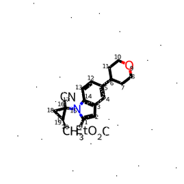 CCOC(=O)c1cc2cc(C3CCOCC3)ccc2n1C1(C#N)C[C@@H]1C